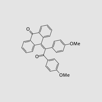 COc1ccc(C(=O)C(=C2c3ccccc3C(=O)c3ccccc32)c2ccc(OC)cc2)cc1